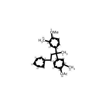 COc1ccc(C(C)(CCc2ccccc2)c2ccc(OC(C)=O)c(C)c2)cc1C